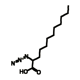 CCCCCCCCCCC(N=[N+]=[N-])C(=O)O